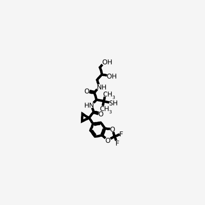 CC(C)(S)C(NC(=O)C1(c2ccc3c(c2)OC(F)(F)O3)CC1)C(=O)NCC(O)CO